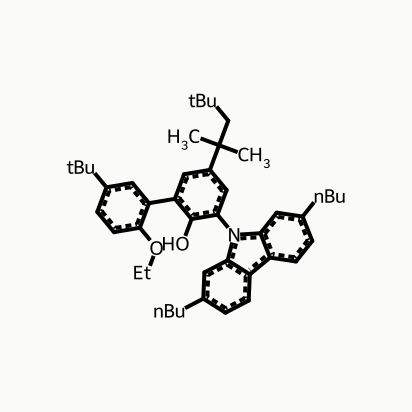 CCCCc1ccc2c3ccc(CCCC)cc3n(-c3cc(C(C)(C)CC(C)(C)C)cc(-c4cc(C(C)(C)C)ccc4OCC)c3O)c2c1